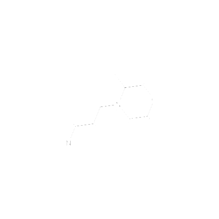 CC1COCCN1CCCN